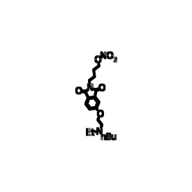 CCCCN(CC)CCOc1ccc2c(c1)C(=O)N(CCCCO[N+](=O)[O-])C2=O